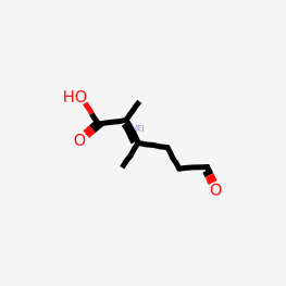 C/C(CCC=O)=C(/C)C(=O)O